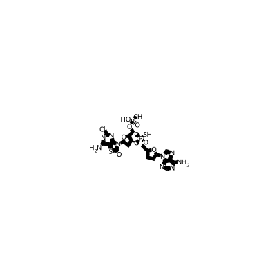 Nc1ncnc2c1ncn2C1CCC(COP(=O)(S)O[C@H]2CC(n3c(=O)sc4c(N)nc(Cl)nc43)OC2COP(=O)(O)S)O1